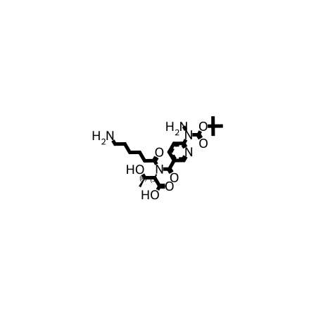 C[C@@H](O)[C@@H](C(=O)O)N(C(=O)CCCCCN)C(=O)c1ccc(N(N)C(=O)OC(C)(C)C)nc1